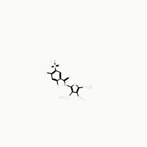 CCOC(=O)c1sc(NC(=O)c2cc(S(N)(=O)=O)c(Cl)cc2Cl)c(C(=O)OCC)c1C